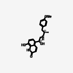 COc1ccc(C[C@@H](C)NC[C@@H](O)c2ccc(O)c3[nH]c(=O)ccc23)cc1